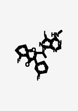 CNc1ncnc2c1c(I)nn2C(C)c1oc2cccc(F)c2c(=O)c1-c1cccc(F)c1